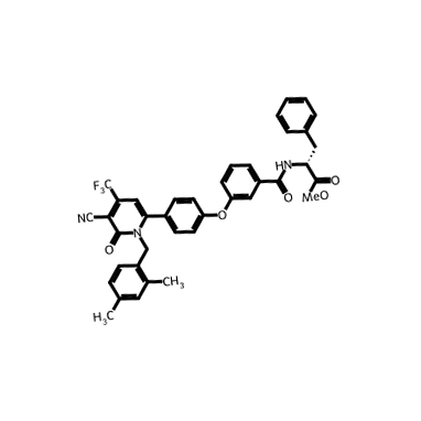 COC(=O)[C@@H](Cc1ccccc1)NC(=O)c1cccc(Oc2ccc(-c3cc(C(F)(F)F)c(C#N)c(=O)n3Cc3ccc(C)cc3C)cc2)c1